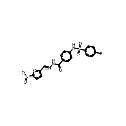 O=C(N/N=C/c1ccc([N+](=O)[O-])o1)c1ccc(NS(=O)(=O)c2ccc(Br)cc2)cc1